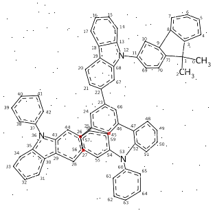 CC1(C)c2ccccc2-c2cc(-n3c4ccccc4c4ccc(-c5cc(-c6ccc7c8ccccc8n(-c8ccccc8)c7c6)cc(-c6ccccc6N(c6ccccc6)c6ccccc6)c5)cc43)ccc21